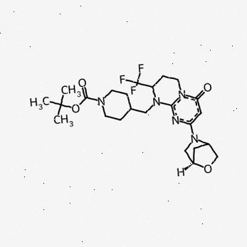 CC(C)(C)OC(=O)N1CCC(CN2c3nc(N4C[C@@H]5CC4CO5)cc(=O)n3CCC2C(F)(F)F)CC1